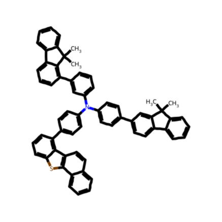 CC1(C)c2ccccc2-c2ccc(-c3ccc(N(c4ccc(-c5cccc6sc7c8ccccc8ccc7c56)cc4)c4cccc(-c5cccc6c5C(C)(C)c5ccccc5-6)c4)cc3)cc21